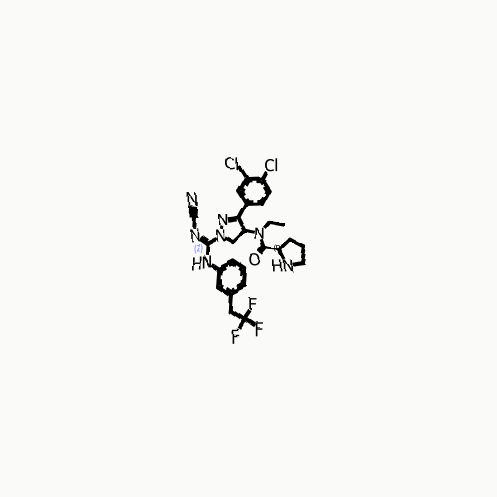 CCN(C(=O)[C@H]1CCCN1)C1CN(/C(=N\C#N)Nc2cccc(CC(F)(F)F)c2)N=C1c1ccc(Cl)c(Cl)c1